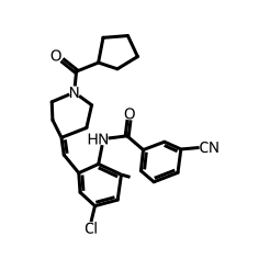 Cc1cc(Cl)cc(C=C2CCN(C(=O)C3CCCC3)CC2)c1NC(=O)c1cccc(C#N)c1